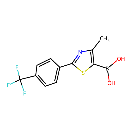 Cc1nc(-c2ccc(C(F)(F)F)cc2)sc1B(O)O